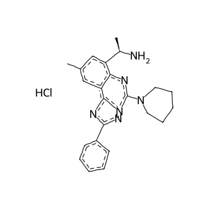 Cc1cc([C@@H](C)N)c2nc(N3CCCCC3)n3nc(-c4ccccc4)nc3c2c1.Cl